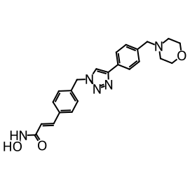 O=C(/C=C/c1ccc(Cn2cc(-c3ccc(CN4CCOCC4)cc3)nn2)cc1)NO